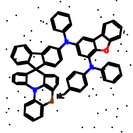 N#Cc1ccc(N(c2ccccc2)c2cc(N(c3ccccc3)c3ccc4c(c3)-c3ccccc3C43c4ccccc4N4c5ccccc5Sc5cccc3c54)cc3c2oc2ccccc23)cc1